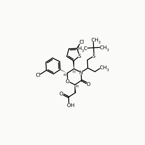 CCC(CSC(C)(C)C)N1C(=O)[C@@H](CC(=O)O)O[C@H](c2cccc(Cl)c2)[C@H]1c1ccc(Cl)s1